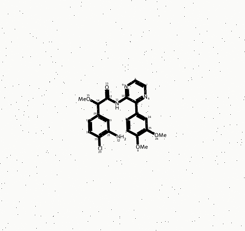 COc1ccc(-c2nccnc2NC(=O)C(OC)c2ccc(Cl)c(N)c2)cc1OC